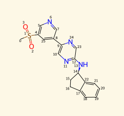 CS(=O)(=O)c1cncc(-c2cnc(N[C@@H]3CCc4ccccc43)cn2)c1